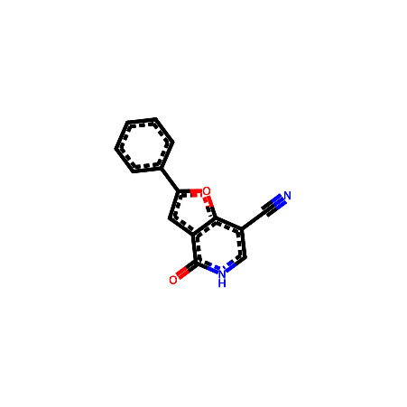 N#Cc1c[nH]c(=O)c2cc(-c3ccccc3)oc12